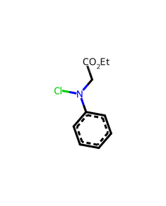 CCOC(=O)CN(Cl)c1ccccc1